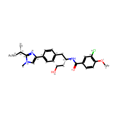 CCCOc1ccc(C(=O)N[C@H](CCO)Cc2ccc(-c3cn(C)c([C@@H](CC)NC(C)=O)n3)cc2)cc1Cl